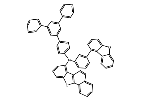 c1ccc(-c2cc(-c3ccccc3)cc(-c3ccc(N(c4cccc(-c5cccc6oc7ccccc7c56)c4)c4cccc5oc6c7ccccc7ccc6c45)cc3)c2)cc1